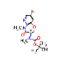 CN1C(=O)[C@H](N(C)C(=O)OC(C)(C)C)COc2cc(Br)cnc21